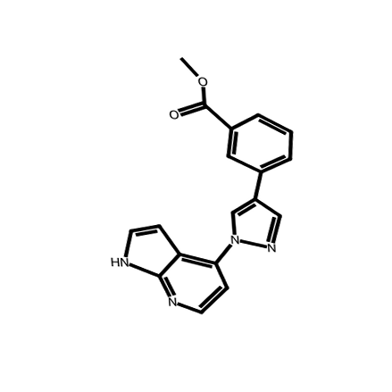 COC(=O)c1cccc(-c2cnn(-c3ccnc4[nH]ccc34)c2)c1